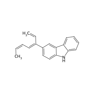 C=C/C(=C\C=C/C)c1ccc2[nH]c3ccccc3c2c1